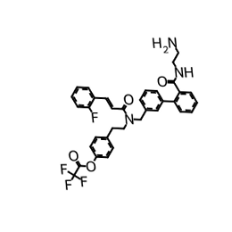 NCCNC(=O)c1ccccc1-c1cccc(CN(CCc2ccc(OC(=O)C(F)(F)F)cc2)C(=O)/C=C/c2ccccc2F)c1